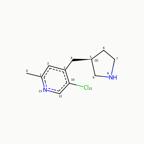 Cc1cc(C[C@H]2CCNC2)c(Cl)cn1